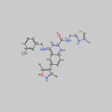 Cc1csc(CNC(=O)c2nc(NCc3cccc(Cl)c3)c3cc(-c4c(C)noc4C)ccc3n2)n1